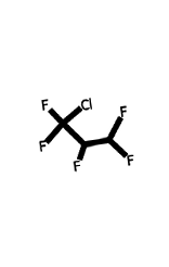 FC(F)C(F)C(F)(F)Cl